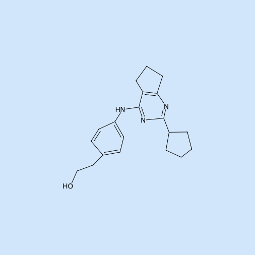 OCCc1ccc(Nc2nc(C3CCCC3)nc3c2CCC3)cc1